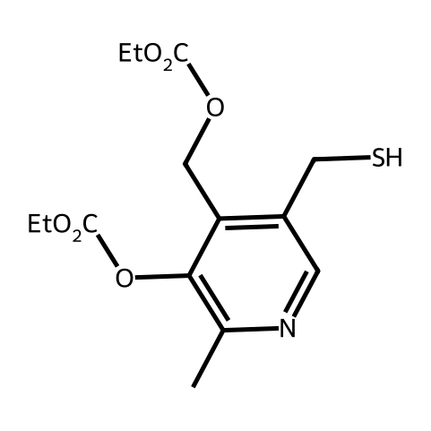 CCOC(=O)OCc1c(CS)cnc(C)c1OC(=O)OCC